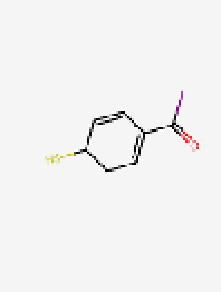 O=C(I)C1=CCC(S)C=C1